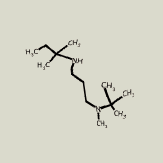 CCC(C)(C)NCCCN(C)C(C)(C)C